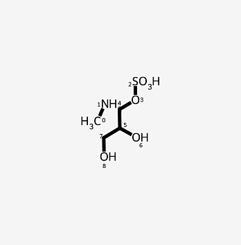 CN.O=S(=O)(O)OCC(O)CO